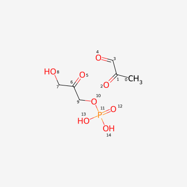 CC(=O)C=O.O=C(CO)COP(=O)(O)O